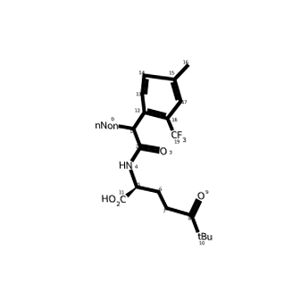 CCCCCCCCCC(C(=O)N[C@@H](CCC(=O)C(C)(C)C)C(=O)O)c1ccc(C)cc1C(F)(F)F